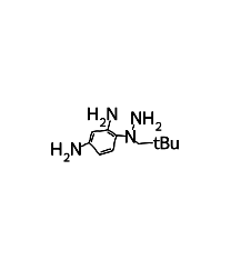 CC(C)(C)CN(N)c1ccc(N)cc1N